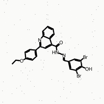 CCOc1ccc(-c2cc(C(=O)N/N=C/c3cc(Br)c(O)c(Br)c3)c3ccccc3n2)cc1